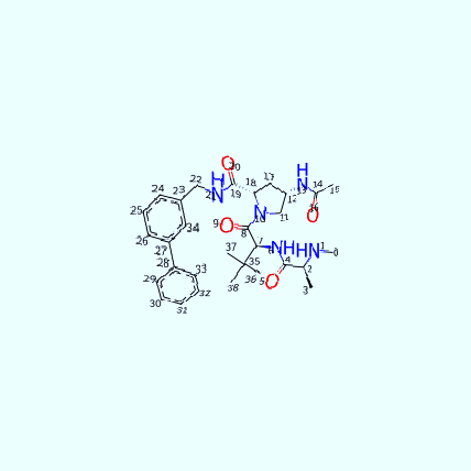 CN[C@@H](C)C(=O)N[C@H](C(=O)N1C[C@@H](NC(C)=O)C[C@H]1C(=O)NCc1cccc(-c2ccccc2)c1)C(C)(C)C